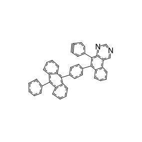 c1ccc(-c2c(-c3ccc(-c4c5ccccc5c(-c5ccccc5)c5ccccc45)cc3)c3ccccc3c3cncnc23)cc#1